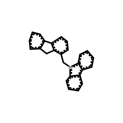 c1ccc2c(c1)Cc1c(Cn3c4ccccc4c4ccccc43)cccc1-2